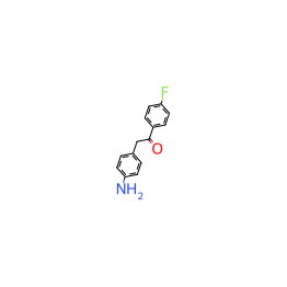 Nc1ccc(CC(=O)c2ccc(F)cc2)cc1